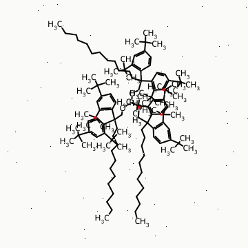 CCCCCCCCCCCCC(COP(OCC(CCCCCCCCCCCC)(c1ccc(C(C)(C)C)cc1C(C)(C)C)c1ccc(C(C)(C)C)cc1C(C)(C)C)OCC(CCCCCCCCCCCC)(c1ccc(C(C)(C)C)cc1C(C)(C)C)c1ccc(C(C)(C)C)cc1C(C)(C)C)(c1ccc(C(C)(C)C)cc1C(C)(C)C)c1ccc(C(C)(C)C)cc1C(C)(C)C